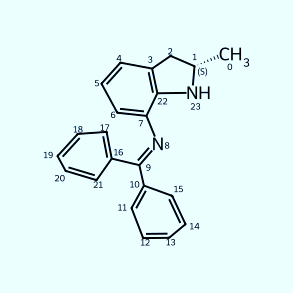 C[C@H]1Cc2cccc(N=C(c3ccccc3)c3ccccc3)c2N1